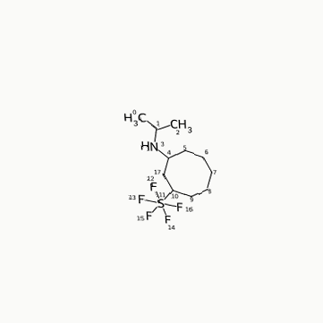 CC(C)NC1CCCCCC(S(F)(F)(F)(F)F)C1